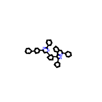 c1ccc(-c2ccc(-c3cc(-c4cccc(-c5c(-c6ccccc6)nn6c(-c7ccccc7)cc7ccccc7c56)c4)nc(-c4ccccc4)n3)cc2)cc1